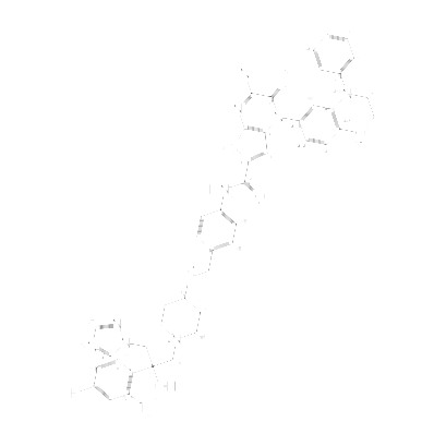 Nc1nc2sc(C(=O)Nc3ccc(COC4CCN(CC(O)(Cn5cncn5)c5ccc(F)cc5F)CC4)cc3)cc2n(-c2ccc3c(c2)N(c2ccccc2)CCO3)c1=O